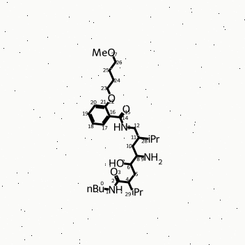 CCCCNC(=O)C(CC(O)C(N)CC(CNC(=O)c1ccccc1OCCCCOC)C(C)C)C(C)C